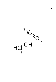 Cl.Cl.[O]=[V]